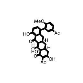 COc1ccc(C(C)=O)cc1-c1ccc(O)c2c1C[C@H]1C[C@H]3CC(O)=C(C(C)=O)C(=O)[C@@]3(O)C(O)=C1C2=O